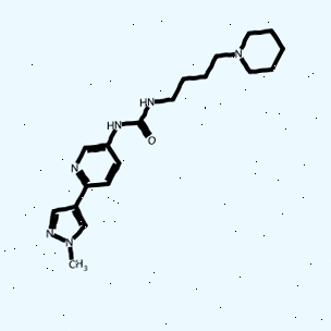 Cn1cc(-c2ccc(NC(=O)NCCCCN3CCCCC3)cn2)cn1